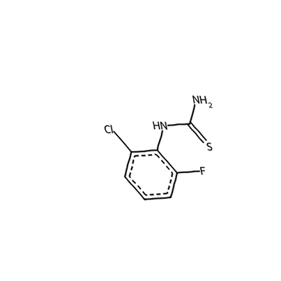 NC(=S)Nc1c(F)cccc1Cl